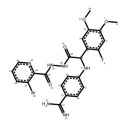 COc1cc(F)c(C(Nc2ccc(C(=N)N)cc2)C(=O)NNC(=O)c2ncccc2Br)cc1OC